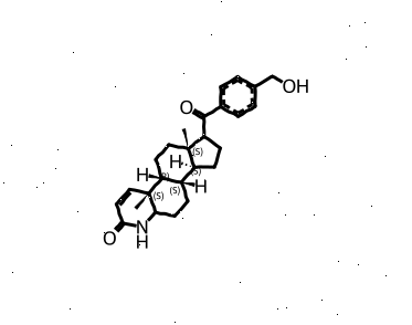 C[C@]12C=CC(=O)NC1CC[C@@H]1[C@H]2CC[C@]2(C)C(C(=O)c3ccc(CO)cc3)CC[C@@H]12